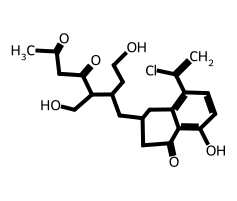 C=C(Cl)c1ccc(O)c2c1CC(CC(CCO)C(CO)C(=O)CC(C)=O)CC2=O